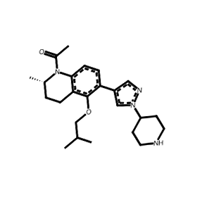 CC(=O)N1c2ccc(-c3cnn(C4CCNCC4)c3)c(OCC(C)C)c2CC[C@@H]1C